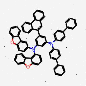 c1ccc(-c2ccc(N(c3ccc(-c4ccccc4)cc3)c3cc(-c4cc5ccccc5c5ccccc45)cc(N(c4ccc5oc6ccccc6c5c4)c4cccc5oc6ccccc6c45)c3)cc2)cc1